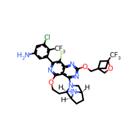 Nc1cc(Cl)c(C(F)(F)F)c(-c2nc3c4c(nc(OCC56COC(C(F)(F)F)(C5)C6)nc4c2F)N2C[C@H]4CC[C@H](N4)[C@H]2CCO3)c1